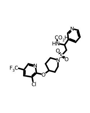 O=C(O)NC(CS(=O)(=O)N1CCC(Oc2ncc(C(F)(F)F)cc2Cl)CC1)c1cccnc1